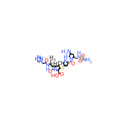 C[C@@H](NC(=O)Cn1cnnn1)[C@H]1C(=O)N2C(C(=O)O)=C(S[C@@H]3CN[C@H](C(=O)N4C[C@H](N)C[C@H]4CNS(N)(=O)=O)C3)[C@H](C)[C@H]12